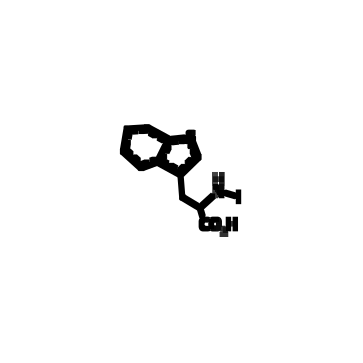 O=C(O)C(Cc1csc2ccccc12)NI